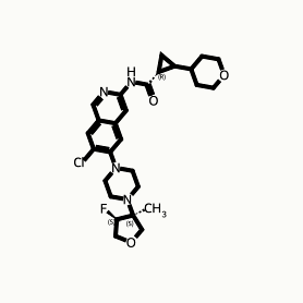 C[C@]1(N2CCN(c3cc4cc(NC(=O)[C@@H]5CC5C5CCOCC5)ncc4cc3Cl)CC2)COC[C@H]1F